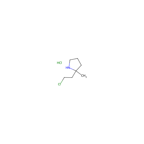 CC1(CCCl)CCCN1.Cl